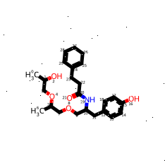 CC(O)COC(C)COCC(Cc1ccc(O)cc1)NC(=O)CCC1=CCCC=C1